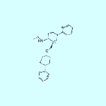 CSNC1CCN(c2ccccn2)C[C@H]1CO[C@H]1CC[C@@H](c2ccccc2)CC1